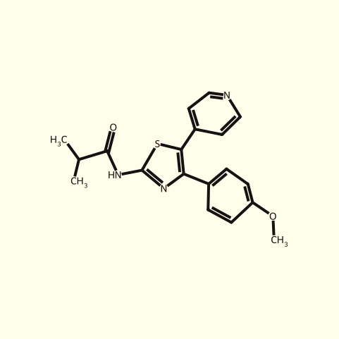 COc1ccc(-c2nc(NC(=O)C(C)C)sc2-c2ccncc2)cc1